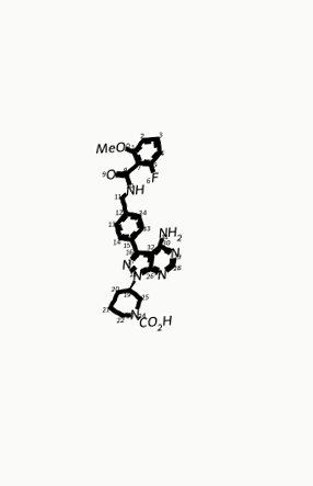 COc1cccc(F)c1C(=O)NCc1ccc(-c2nn([C@@H]3CCCN(C(=O)O)C3)c3ncnc(N)c23)cc1